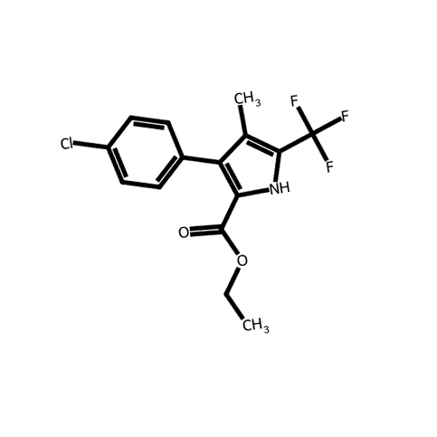 CCOC(=O)c1[nH]c(C(F)(F)F)c(C)c1-c1ccc(Cl)cc1